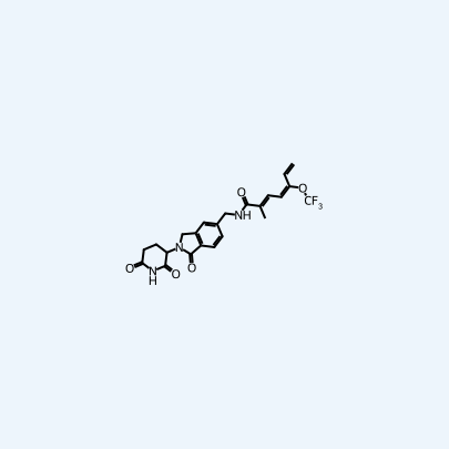 C=C/C(=C\C=C(/C)C(=O)NCc1ccc2c(c1)CN(C1CCC(=O)NC1=O)C2=O)OC(F)(F)F